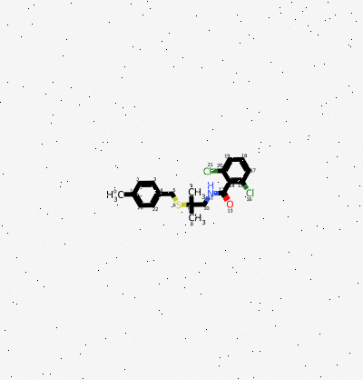 Cc1ccc(CSC(C)(C)CNC(=O)c2c(Cl)cccc2Cl)cc1